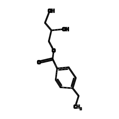 CCc1ccc(C(=O)OCC(O)CO)cc1